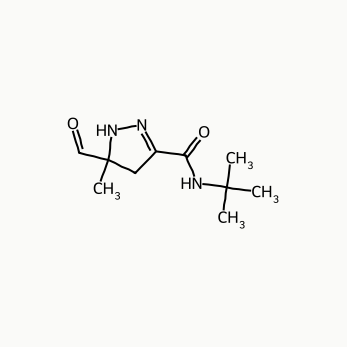 CC(C)(C)NC(=O)C1=NNC(C)(C=O)C1